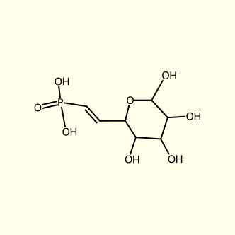 O=P(O)(O)C=CC1OC(O)C(O)C(O)C1O